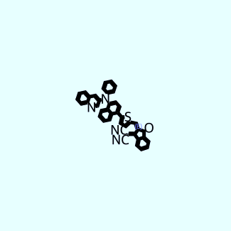 N#CC(C#N)=C1/C(=C\c2ccc(-c3ccc(N(c4ccccc4)c4cnc5ccccc5c4)c4ccccc34)s2)C(=O)c2ccccc21